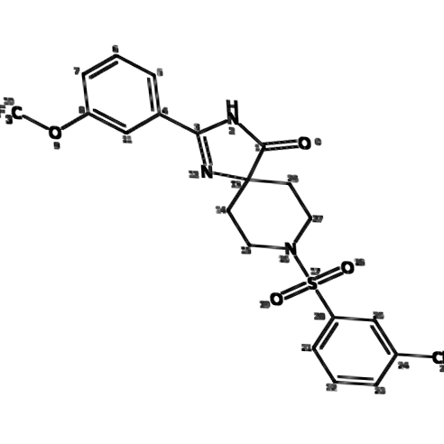 O=C1NC(c2cccc(OC(F)(F)F)c2)=NC12CCN(S(=O)(=O)c1cccc(Cl)c1)CC2